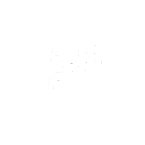 c1ccc2c(c1)-c1ccccc1C21c2ccccc2-c2ccc(-c3ccc(B(c4ccc5c(c4)oc4ccccc45)c4ccc5c(c4)sc4ccccc45)cc3)cc21